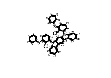 Clc1c(Sc2ccccc2)cccc1-n1c2ccccc2c2cc3c4ccccc4n(-c4cccc(Sc5ccccc5)c4Cl)c3cc21